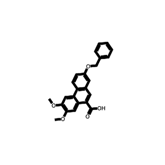 COc1cc2c(C(=O)O)cc3cc(OCc4ccccc4)ccc3c2cc1OC